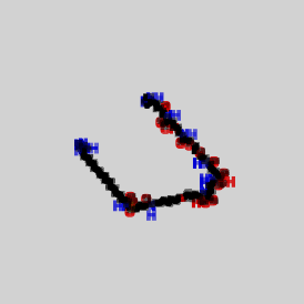 O=C(CCc1cnc[nH]1)CN[C@@H](CCCCNC(=O)COCCOCCNC(=O)CCC(NC(=O)CCC(NC(=O)CCCCCCCCCCCNC(=O)CCCS(=O)(=O)NC(=O)CCCCCCCCCCCCCCCc1nnn[nH]1)C(=O)O)C(=O)O)C(=O)O